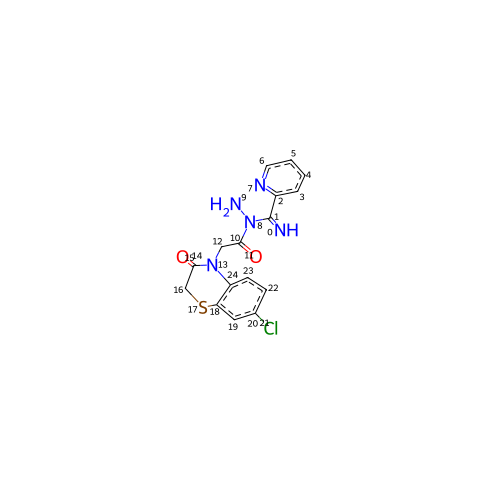 N=C(c1ccccn1)N(N)C(=O)CN1C(=O)CSc2cc(Cl)ccc21